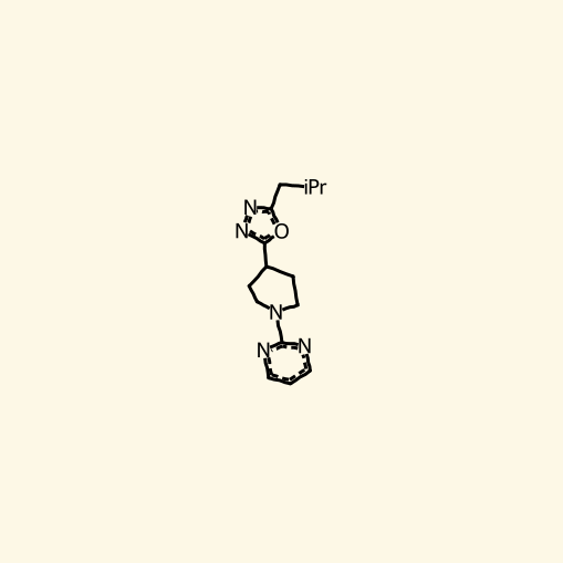 CC(C)Cc1nnc(C2CCN(c3ncccn3)CC2)o1